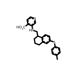 Cc1ccc(Sc2ccc3c(c2)CCCC3CNc2cnccc2C(=O)O)cc1